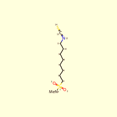 CNS(=O)(=O)CCCCCCCCN=C=S